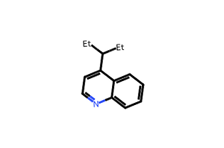 CCC(CC)c1ccnc2ccccc12